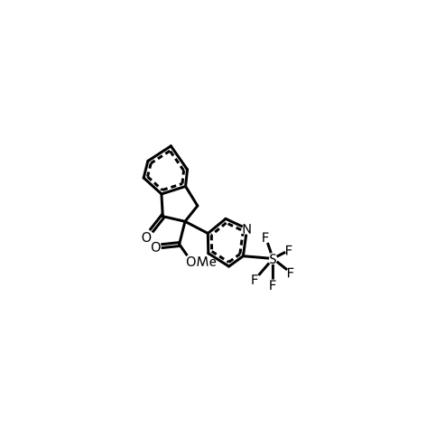 COC(=O)C1(c2ccc(S(F)(F)(F)(F)F)nc2)Cc2ccccc2C1=O